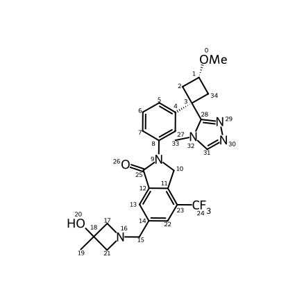 CO[C@H]1C[C@](c2cccc(N3Cc4c(cc(CN5CC(C)(O)C5)cc4C(F)(F)F)C3=O)c2)(c2nncn2C)C1